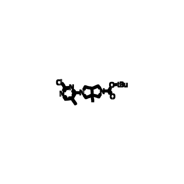 Cc1cnc(Cl)nc1N1CC2CN(C(=O)OC(C)(C)C)CC2(C)C1